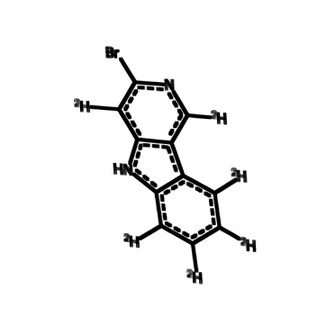 [2H]c1c([2H])c([2H])c2c([nH]c3c([2H])c(Br)nc([2H])c32)c1[2H]